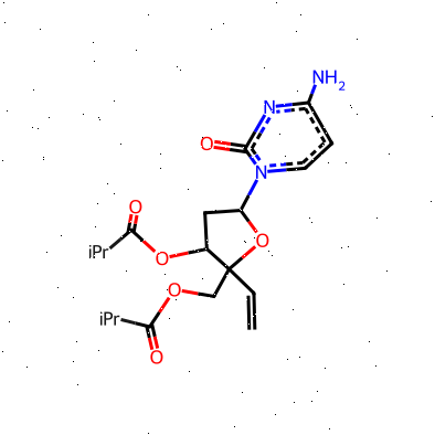 C=CC1(COC(=O)C(C)C)OC(n2ccc(N)nc2=O)CC1OC(=O)C(C)C